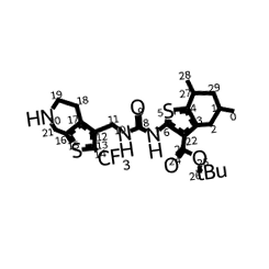 CC1Cc2c(sc(NC(=O)NCc3c(C(F)(F)F)sc4c3CCNC4)c2C(=O)OC(C)(C)C)C(C)C1